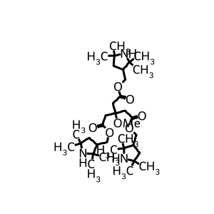 COC(CC(=O)OCC1CC(C)(C)NC1(C)C)(CC(=O)OCC1CC(C)(C)NC1(C)C)CC(=O)OCC1CC(C)(C)NC1(C)C